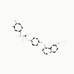 COc1ccc2nccc(Oc3ccc(NC(=O)Nc4ccc(Cl)c(C(F)(F)F)c4)cc3)c2c1